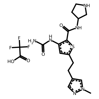 Cn1cc(CCc2cc(NC(N)=O)c(C(=O)NC3CCNC3)s2)cn1.O=C(O)C(F)(F)F